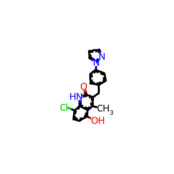 Cc1c(Cc2ccc(-n3cccn3)cc2)c(=O)[nH]c2c(Cl)ccc(O)c12